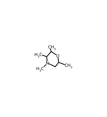 CC1CN(C)C(C)C(C)O1